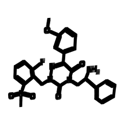 COc1cccc(-c2nn(Cc3c(F)cccc3S(C)(=O)=O)c(=O)n(CC(N)c3ccccc3)c2=O)c1